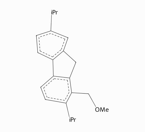 COCc1c(C(C)C)ccc2c1Cc1cc(C(C)C)ccc1-2